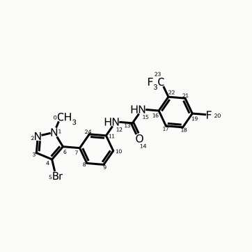 Cn1ncc(Br)c1-c1cccc(NC(=O)Nc2ccc(F)cc2C(F)(F)F)c1